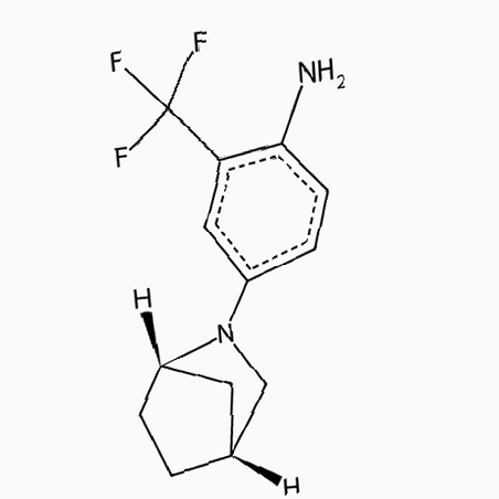 Nc1ccc(N2C[C@@H]3CC[C@H]2C3)cc1C(F)(F)F